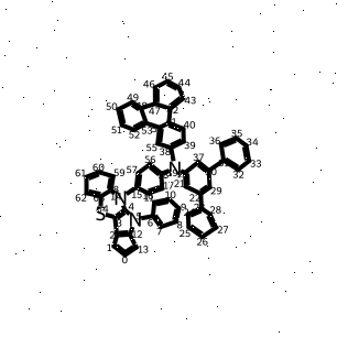 C1=Cc2c3c(n(-c4ccccc4)c2C=1)N(c1ccc(N(c2cc(-c4ccccc4)cc(-c4ccccc4)c2)c2ccc4c5ccccc5c5ccccc5c4c2)cc1)c1ccccc1S3